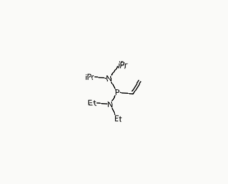 C=CP(N(CC)CC)N(C(C)C)C(C)C